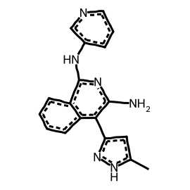 Cc1cc(-c2c(N)nc(Nc3cccnc3)c3ccccc23)n[nH]1